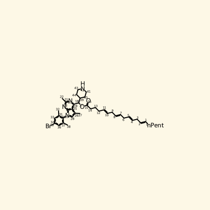 CCCCCC=CCC=CCC=CCC=CCCCC(=O)OC(c1nc(C)nc2c1c(C)cn2-c1c(C)cc(Br)cc1C)C1CCNCC1